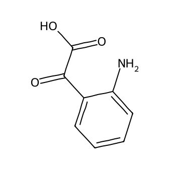 Nc1ccccc1C(=O)C(=O)O